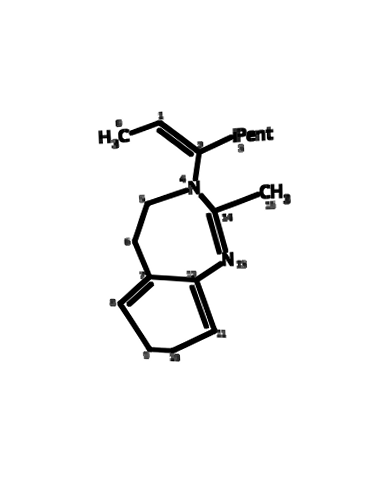 C/C=C(/C(C)CCC)N1CCC2=CCCC=C2N=C1C